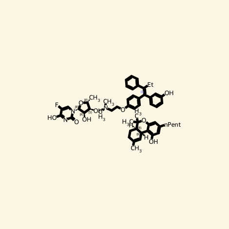 CC/C(=C(/c1ccc(OCCN(C)C)cc1)c1cccc(O)c1)c1ccccc1.CCCCCc1cc(O)c2c(c1)OC(C)(C)[C@@H]1CCC(C)=C[C@@H]21.C[C@H]1O[C@@H](n2cc(F)c(O)nc2=O)[C@H](O)[C@@H]1O